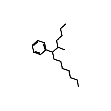 CCCCCCCC(c1[c]cccc1)C(C)CCCC